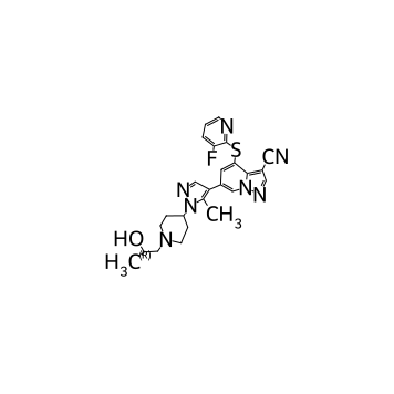 Cc1c(-c2cc(Sc3ncccc3F)c3c(C#N)cnn3c2)cnn1C1CCN(C[C@@H](C)O)CC1